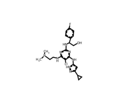 CN(C)CCNc1nc(NC(CO)c2ccc(F)cc2)nc(Nc2cc(C3CC3)n[nH]2)c1Cl